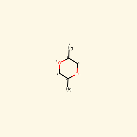 [Hg][CH]1CO[CH]([Hg])CO1